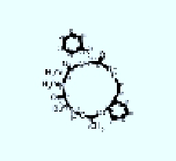 CCC(C)[C@@H]1NC[C@H](C)Oc2ccccc2CCCNC(=O)[C@@H](Cc2ccccc2)NC(=O)[C@@H](C)N(C)C1=O